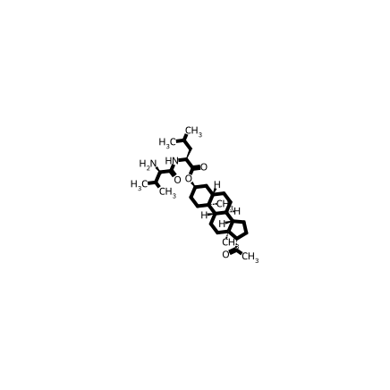 CC(=O)[C@H]1CC[C@H]2[C@@H]3CC[C@H]4C[C@H](OC(=O)[C@H](CC(C)C)NC(=O)[C@H](N)C(C)C)CC[C@]4(C)[C@H]3CC[C@]12C